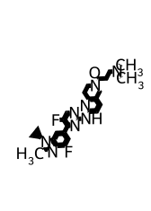 Cc1nc2c(F)cc(-c3nc(Nc4ccc5c(n4)CCN(C(=O)CCN(C)C)C5)ncc3F)cc2n1C1CC1